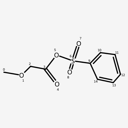 COCC(=O)OS(=O)(=O)c1ccccc1